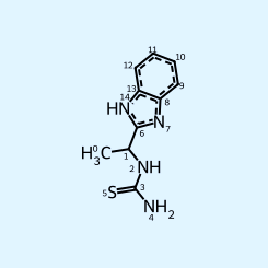 CC(NC(N)=S)c1nc2ccccc2[nH]1